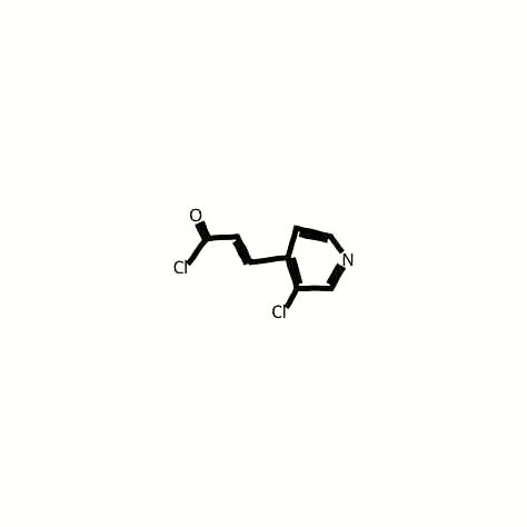 O=C(Cl)C=Cc1ccncc1Cl